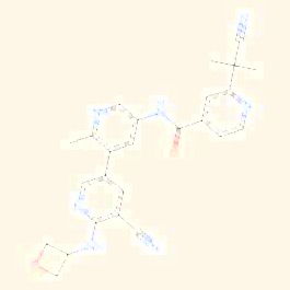 Cc1ncc(NC(=O)c2ccnc(C(C)(C)C#N)c2)cc1-c1cnc(NC2COC2)c(C#N)c1